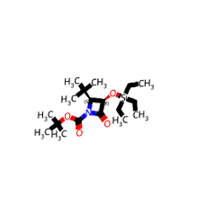 CC[Si](CC)(CC)O[C@H]1C(=O)N(C(=O)OC(C)(C)C)[C@H]1C(C)(C)C